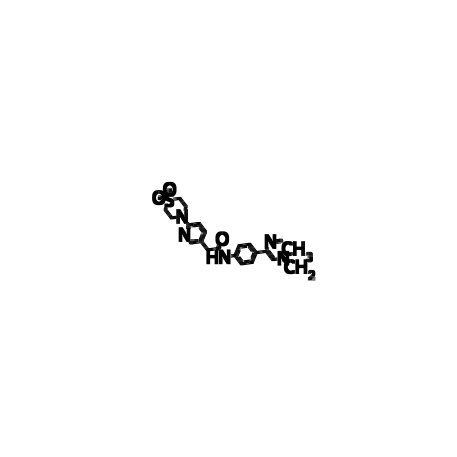 C=N/C=C(\N=C/C)c1ccc(NC(=O)Cc2ccc(N3CCS(=O)(=O)CC3)nc2)cc1